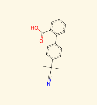 CC(C)(C#N)c1ccc(-c2ccccc2C(=O)O)cc1